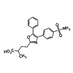 CC(CCc1nc(-c2ccc(S(N)(=O)=O)cc2)c(-c2ccccc2)o1)C(=O)O